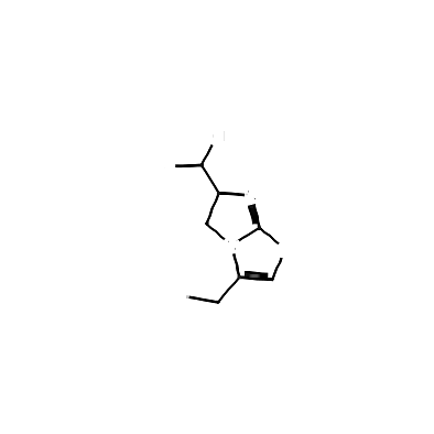 CC(C)C1CN2C(CCl)=CSC2=N1